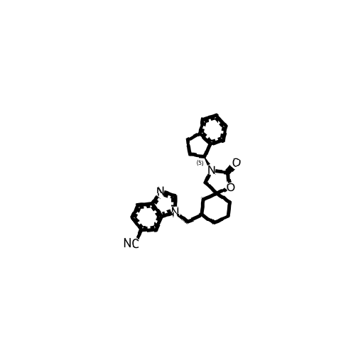 N#Cc1ccc2ncn(CC3CCCC4(C3)CN([C@H]3CCc5ccccc53)C(=O)O4)c2c1